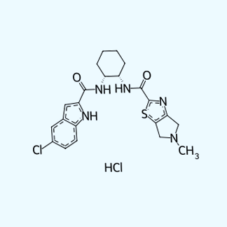 CN1Cc2nc(C(=O)N[C@H]3CCCC[C@H]3NC(=O)c3cc4cc(Cl)ccc4[nH]3)sc2C1.Cl